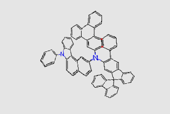 c1ccc(-c2cc3c(cc2N(c2ccc4c5ccccc5c5ccccc5c4c2)c2ccc4ccc5c(c4c2)c2ccccc2n5-c2ccccc2)C2(c4ccccc4-c4ccccc42)c2ccccc2-3)cc1